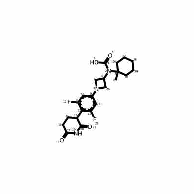 CC1(N(C(=O)O)C2CN(c3cc(F)c(C4CCC(=O)NC4=O)c(F)c3)C2)CCCCC1